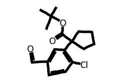 CC(C)(C)OC(=O)C1(c2cc(C=O)ccc2Cl)CCCC1